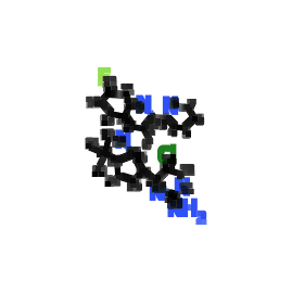 Cc1c(-c2ccccn2)nc2cc(F)ccc2c1N1CC(C)(C)c2ccc(-c3nc(N)ncc3Cl)cc21